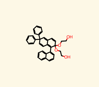 OCCOC1(OCCO)C=CC2=CC(c3ccccc3)(c3ccccc3)C=CC2=C1c1cccc2ccccc12